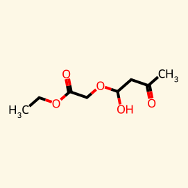 CCOC(=O)COC(O)CC(C)=O